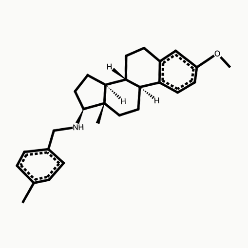 COc1ccc2c(c1)CC[C@@H]1[C@@H]2CC[C@]2(C)[C@@H](NCc3ccc(C)cc3)CC[C@@H]12